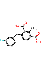 Cc1c(C(=O)O)ccc(Cc2cccc(F)c2)c1C(=O)O